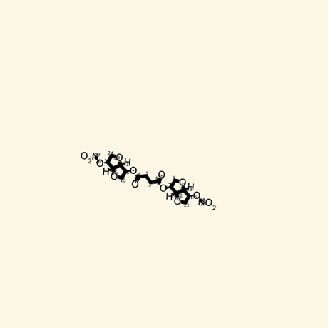 O=C(CCC(=O)O[C@H]1CO[C@H]2[C@@H]1OC[C@H]2O[N+](=O)[O-])O[C@H]1CO[C@H]2[C@@H]1OC[C@H]2O[N+](=O)[O-]